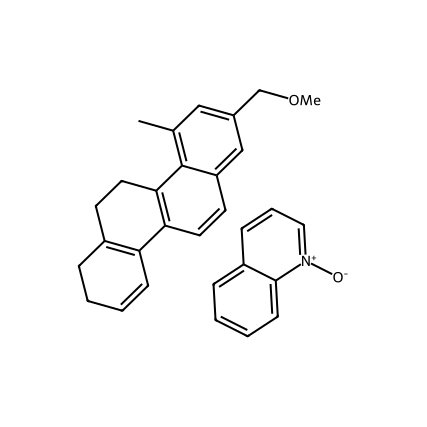 COCc1cc(C)c2c3c(ccc2c1)C1=C(CCC=C1)CC3.[O-][n+]1cccc2ccccc21